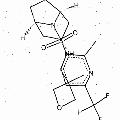 Cc1nc(C(F)(F)F)ccc1S(=O)(=O)N1[C@@H]2CC[C@H]1C[C@H](NCC1(C)COC1)C2